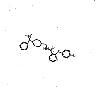 CN(C)C(c1ccccc1)C1CCC(CNC(=O)c2cccnc2Sc2ccc(Cl)cc2)CC1